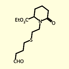 CCOC(=O)C1CCCC(=O)N1CCSCCCC=O